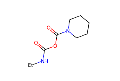 CCNC(=O)OC(=O)N1CCCCC1